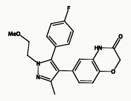 COCCn1nc(C)c(-c2ccc3c(c2)NC(=O)CO3)c1-c1ccc(F)cc1